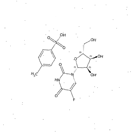 Cc1ccc(S(=O)(=O)O)cc1.O=c1[nH]c(=O)n([C@@H]2O[C@H](CO)[C@@H](O)[C@H]2O)cc1F